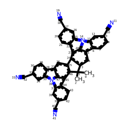 CC1(C)c2cc3c4ccc(C#N)cc4n4c5cc(C#N)ccc5c(c2-c2cc5c6ccc(C#N)cc6n6c7cc(C#N)ccc7c(c21)c56)c34